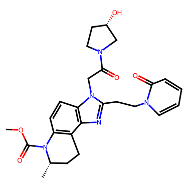 COC(=O)N1c2ccc3c(nc(CCn4ccccc4=O)n3CC(=O)N3CC[C@H](O)C3)c2CC[C@@H]1C